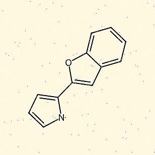 C1=C[N]C(c2cc3ccccc3o2)=C1